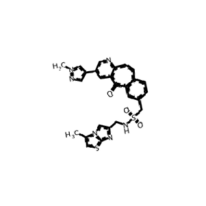 Cc1csc2nc(CNS(=O)(=O)Cc3ccc4ccc5ncc(-c6cnn(C)c6)cc5c(=O)c4c3)cn12